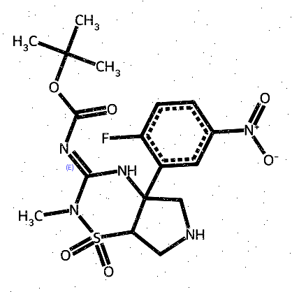 CN1/C(=N/C(=O)OC(C)(C)C)NC2(c3cc([N+](=O)[O-])ccc3F)CNCC2S1(=O)=O